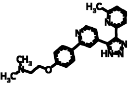 Cc1cccc(-c2nn[nH]c2-c2ccnc(-c3ccc(OCCN(C)C)cc3)c2)n1